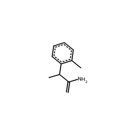 C=C(N)C(C)c1ccccc1C